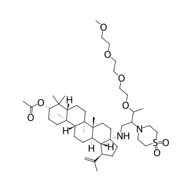 C=C(C)[C@@H]1CC[C@]2(NCC(C(C)OCCOCCOCCOC)N3CCS(=O)(=O)CC3)CC[C@]3(C)[C@H](CC[C@@H]4[C@@]5(C)CC[C@H](OC(C)=O)C(C)(C)[C@@H]5CC[C@]43C)[C@@H]12